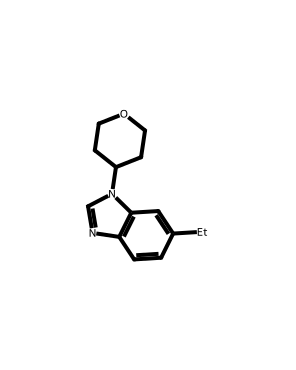 CCc1ccc2ncn(C3CCOCC3)c2c1